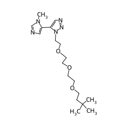 Cn1cncc1-c1cnnn1CCOCCOCCOCCC(C)(C)C